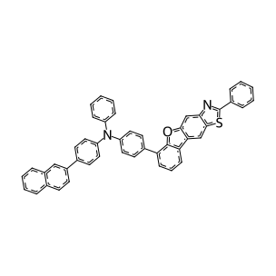 c1ccc(-c2nc3cc4oc5c(-c6ccc(N(c7ccccc7)c7ccc(-c8ccc9ccccc9c8)cc7)cc6)cccc5c4cc3s2)cc1